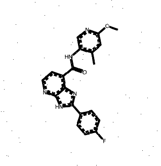 COc1cc(C)c(NC(=O)c2ccnc3[nH]c(-c4ccc(F)cc4)nc23)cn1